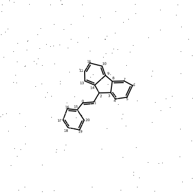 C(=CC1c2ccccc2-c2ccccc21)c1ccccc1